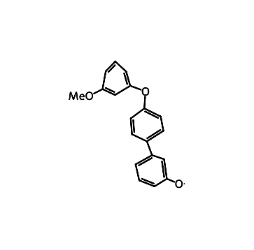 COc1cccc(Oc2ccc(-c3cccc([O])c3)cc2)c1